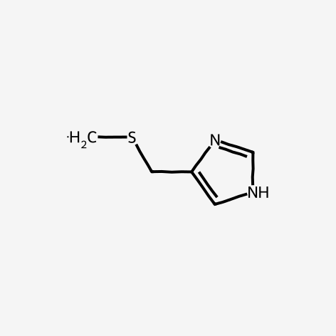 [CH2]SCc1c[nH]cn1